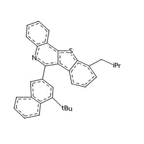 CC(C)Cc1cccc2c1sc1c3ccccc3nc(-c3cc(C(C)(C)C)c4ccccc4c3)c21